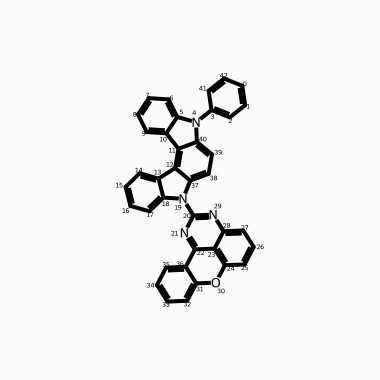 c1ccc(-n2c3ccccc3c3c4c5ccccc5n(-c5nc6c7c(cccc7n5)Oc5ccccc5-6)c4ccc32)cc1